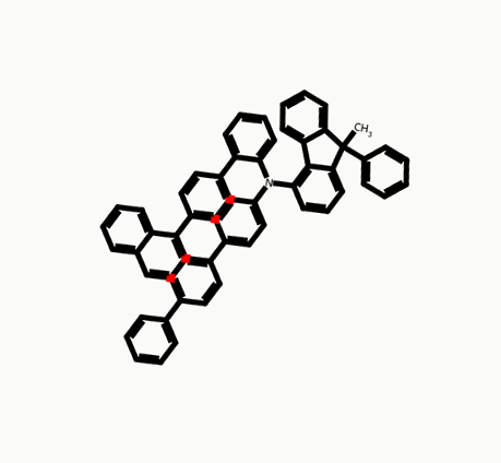 CC1(c2ccccc2)c2ccccc2-c2c(N(c3ccc(-c4ccc(-c5ccccc5)cc4)cc3)c3ccccc3-c3ccc(-c4cccc5ccccc45)cc3)cccc21